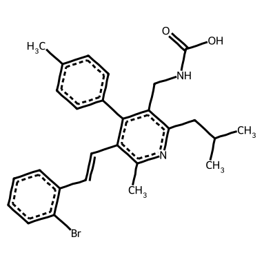 Cc1ccc(-c2c(C=Cc3ccccc3Br)c(C)nc(CC(C)C)c2CNC(=O)O)cc1